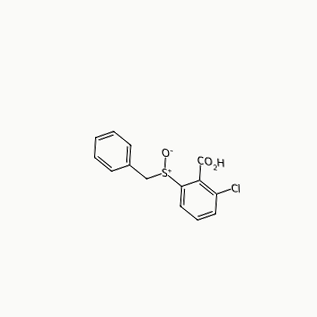 O=C(O)c1c(Cl)cccc1[S+]([O-])Cc1ccccc1